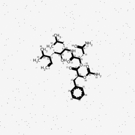 C=C[C@@H](C[C@H](O)[C@H](CC(C)C)NC(=O)[C@H](CC(N)=O)OC(=O)[C@H](Cc1ccccc1)OC(N)=O)C(C)C